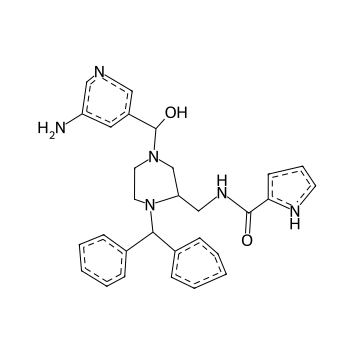 Nc1cncc(C(O)N2CCN(C(c3ccccc3)c3ccccc3)C(CNC(=O)c3ccc[nH]3)C2)c1